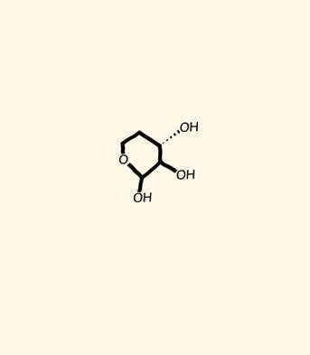 OC1OCC[C@H](O)C1O